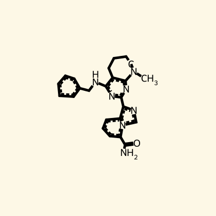 CN1CCCCc2c(NCc3ccccc3)nc(-c3ncn4c(C(N)=O)cccc34)nc21